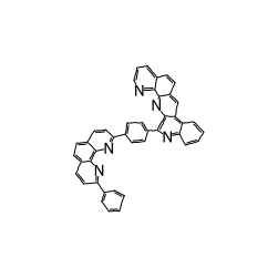 c1ccc(-c2ccc3ccc4ccc(-c5ccc(-c6nc7ccccc7c7cc8ccc9cccnc9c8nc67)cc5)nc4c3n2)cc1